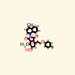 CC12OC(CCOc3ccc(F)cc3)(CC1O)C1C(=O)N(c3ccc(C#N)c4ccccc34)C(=O)C12